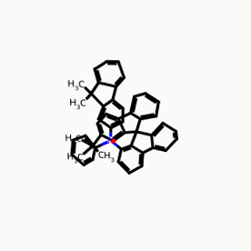 CC(C)(C)c1ccc2c(c1)C1(c3ccccc3-2)c2ccccc2-c2cccc(N(c3ccccc3)c3ccc4c(c3)C(C)(C)c3ccccc3-4)c21